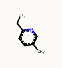 [CH2]c1ccc(CC(F)(F)F)nc1